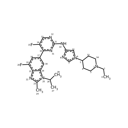 CCN1CCC(n2cnc(Nc3ncc(F)c(-c4cc(F)c5nc(C)n(C(C)C)c5c4)n3)c2)CC1